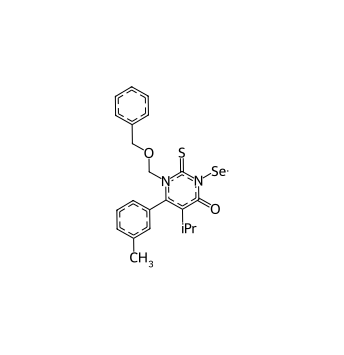 Cc1cccc(-c2c(C(C)C)c(=O)n([Se])c(=S)n2COCc2ccccc2)c1